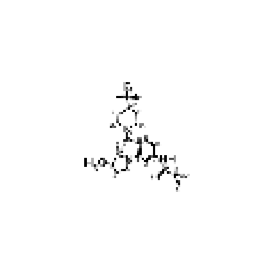 CC1CCN(c2cc(NC(=O)C3CC3)ccc2C(=O)N2CCC(C(F)(F)F)CC2)C1